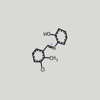 Cc1c(Cl)cccc1/C=N/c1ccccc1O